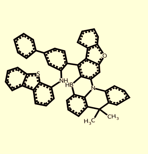 CC1(C)c2ccccc2N2c3cc4oc5ccccc5c4c(-c4ccc(-c5ccccc5)cc4Nc4cccc5c4sc4ccccc45)c3Bc3cccc1c32